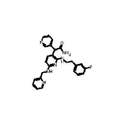 NC(=O)C(c1cccnc1)c1ccc(NCc2ccccn2)nc1NCCc1cccc(F)c1